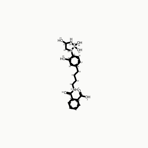 O=C(O)c1ccccc1C(=O)NCCCCc1ccc(N2CC(O)NS2(O)O)c(O)c1